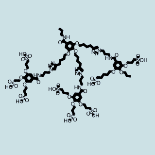 CCCNC(=O)c1cc(OCCCCc2cn(CCCNC(=O)c3cc(OCCCCCS(=O)(=O)O)c(OCCC)c(OCCCS(=O)(=O)O)c3)nn2)c(OCCCCc2cn(CCCNC(=O)c3cc(OCCCS(=O)(=O)O)c(OCCCS(=O)(=O)O)c(OCCCS(=O)(=O)O)c3)nn2)c(OCCCCc2cn(CCCNC(=O)c3cc(OCCCS(=O)(=O)O)c(OCCS(=O)(=O)O)c(OCCCS(=O)(=O)O)c3)nn2)c1